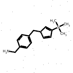 C[Si](C)(C)C1=C[C](Cc2ccc(CN)cc2)C=C1